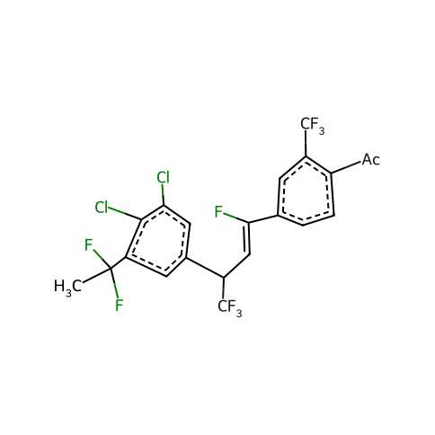 CC(=O)c1ccc(/C(F)=C/C(c2cc(Cl)c(Cl)c(C(C)(F)F)c2)C(F)(F)F)cc1C(F)(F)F